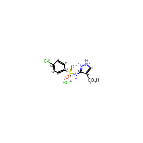 Cl.O=C(O)c1c[nH]nc1NS(=O)(=O)c1ccc(Cl)cc1